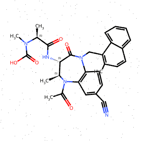 CC(=O)N1c2cc(C#N)ccc2N(Cc2c(C)ccc3ccccc23)C(=O)[C@@H](NC(=O)[C@H](C)N(C)C(=O)O)[C@@H]1C